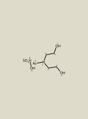 CC(=O)N(CCO)CCO.O=S(=O)(O)O